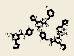 COc1cccc(CNC(=O)c2cc(-c3ccco3)nc(N)n2)c1.C[N+](C)(c1nc(C(=O)NCc2ccccc2F)cc(-c2ccco2)n1)C1(N)N=CC=C(c2ccco2)N1.Nc1nc(C(=O)Nc2ccc(F)c(F)c2)cc(-c2ccco2)n1